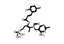 C/C(=C(\CCOP(=O)(O)O)SC(=O)/C=C/c1cc(F)ccc1F)N(C=O)Cc1cnc(C)nc1N